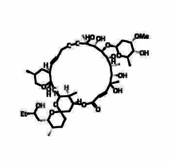 CC[C@@H](O)C[C@@H]1O[C@@]2(CC[C@@H]1C)C[C@@H]1OC(=O)/C=C/[C@@](C)(O)[C@@H](O)[C@@H](C)[C@@H](O)[C@H](O[C@H]3C[C@H](OC)[C@H](O)[C@@H](C)O3)[C@@H](O)[C@](C)(O)CCC/C=C/[C@@H]3C[C@H](C)CO[C@@]3(O)C[C@H](O2)[C@H]1C